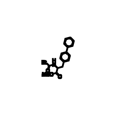 CCC(=O)NC(Cc1ccc(-c2ccccc2)cc1)C(=O)OC